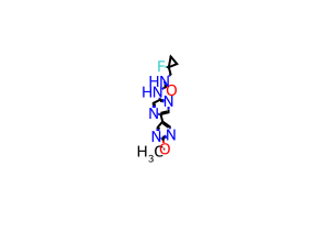 COc1ncc(-c2cnc(NC(=O)NCC3(F)CC3)cn2)cn1